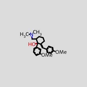 COc1ccc(C=C2CCCC(CN(C)C)C2(O)c2cccc(OC)c2)cc1